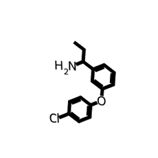 CCC(N)c1cccc(Oc2ccc(Cl)cc2)c1